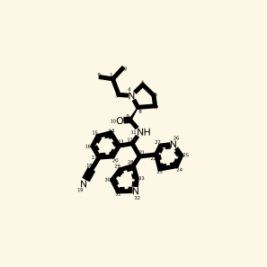 CC(C)CN1CCC[C@H]1C(=O)NC(c1cccc(C#N)c1)C(c1cccnc1)c1cccnc1